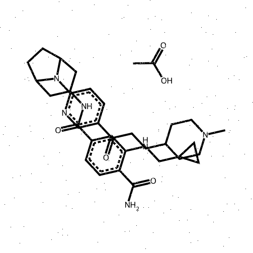 CC(=O)O.CN1CCC(CCC(=O)c2ccc(N3C4CCC3CC(NC(=O)c3ccc(C(N)=O)c(NCC5CC5)c3)C4)nc2)CC1